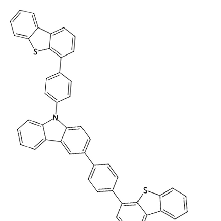 c1ccc2c(c1)sc1c(-c3ccc(-c4ccc5c(c4)c4ccccc4n5-c4ccc(-c5cccc6c5sc5ccccc56)cc4)cc3)cccc12